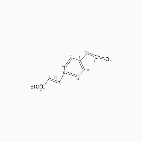 CCOC(=O)/C=C/c1ccc(C=C=O)cc1